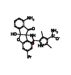 Cc1[nH]c(C(=O)NC23C(=O)c4c(N)cccc4C2(O)Oc2cc(C(C)C)ccc23)c(C)c1[S+](N)[O-]